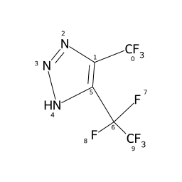 FC(F)(F)c1nn[nH]c1C(F)(F)C(F)(F)F